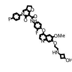 COc1cc2c(Oc3ccc(NC(=O)c4c5c(cn(-c6ccc(F)cc6)c4=O)CCO5)cc3F)ccnc2cc1OCCNC1CC(O)C1